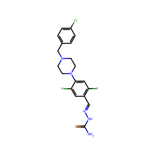 NC(=S)N/N=C/c1cc(F)c(N2CCN(Cc3ccc(Cl)cc3)CC2)cc1F